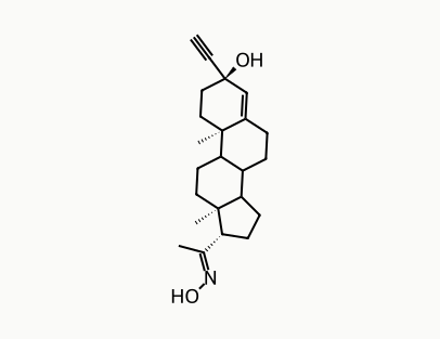 C#C[C@]1(O)C=C2CCC3C(CC[C@@]4(C)C3CC[C@@H]4/C(C)=N/O)[C@@]2(C)CC1